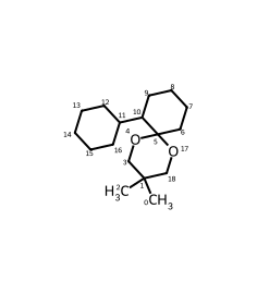 CC1(C)COC2(CCCCC2C2CCCCC2)OC1